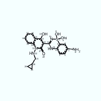 Nc1ccc2c(c1)S(O)(O)N=C(c1c(O)c3ccccc3n(NCC3CC3)c1=O)N2